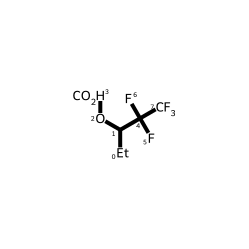 CCC(OC(=O)O)C(F)(F)C(F)(F)F